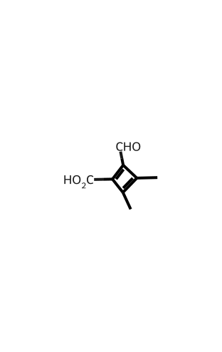 CC1=C(C)C(C(=O)O)=C1C=O